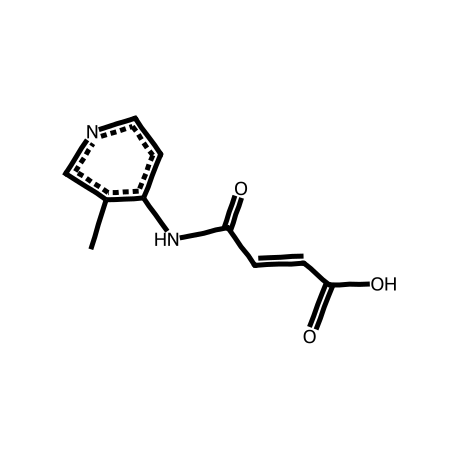 Cc1cnccc1NC(=O)/C=C/C(=O)O